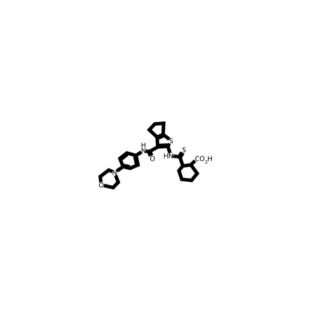 O=C(Nc1ccc(N2CCOCC2)cc1)c1c(NC(=S)C2CCCCC2C(=O)O)sc2c1CCC2